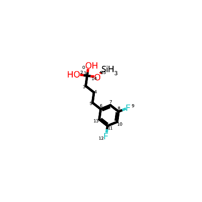 OC(O)(CCCc1cc(F)cc(F)c1)O[SiH3]